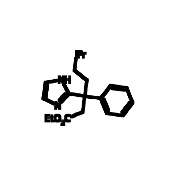 CCOC(=O)CC(CCC(C)C)(c1ccccc1)c1ncc[nH]1